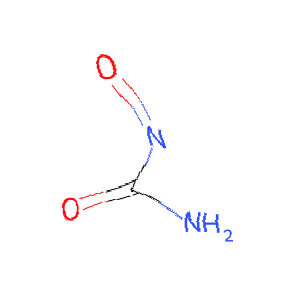 NC(=O)N=O